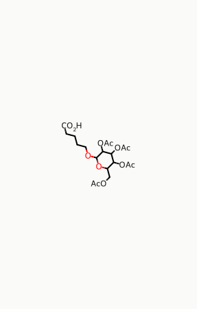 CC(=O)OCC1OC(OCCCCC(=O)O)C(OC(C)=O)C(OC(C)=O)C1OC(C)=O